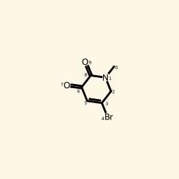 CN1CC(Br)=CC(=O)C1=O